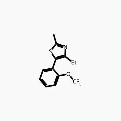 [CH2]Cc1nc(C)sc1-c1ccccc1OC(F)(F)F